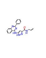 C=CCNC(=O)c1cc(Nc2nc(-c3ccccc3)nc3ccccc23)[nH]n1